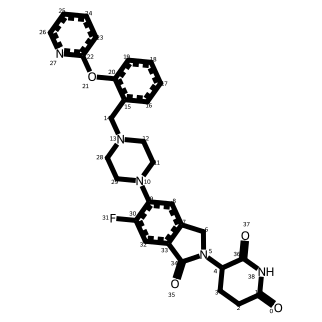 O=C1CCC(N2Cc3cc(N4CCN(Cc5ccccc5Oc5ccccn5)CC4)c(F)cc3C2=O)C(=O)N1